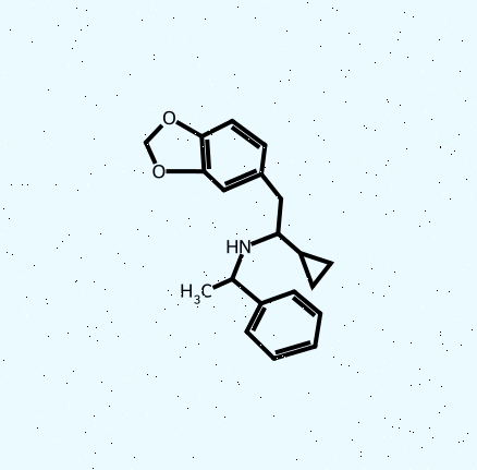 CC(NC(Cc1ccc2c(c1)OCO2)C1CC1)c1ccccc1